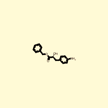 Nc1ccc(C[C@@H](O)C(=O)OCc2ccccc2)cc1